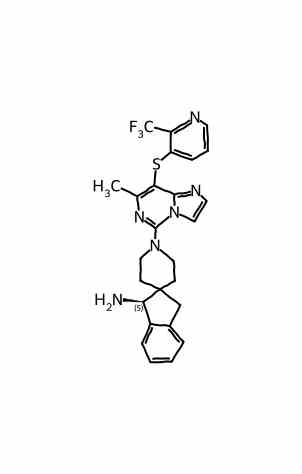 Cc1nc(N2CCC3(CC2)Cc2ccccc2[C@H]3N)n2ccnc2c1Sc1cccnc1C(F)(F)F